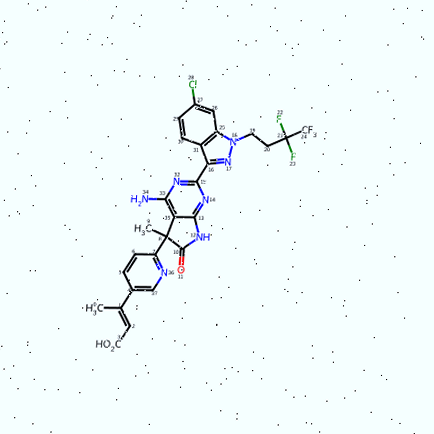 CC(=CC(=O)O)c1ccc(C2(C)C(=O)Nc3nc(-c4nn(CCC(F)(F)C(F)(F)F)c5cc(Cl)ccc45)nc(N)c32)nc1